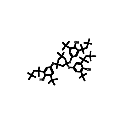 CC(C)(C)CC(C)(C)c1cc(SC2(C)CC(C)(C)CC(Sc3cc(C(C)(C)C)c(O)c(C(C)(C)CC(C)(C)C)c3)(Sc3cc(C(C)(C)C)c(O)c(C(C)(C)CC(C)(C)C)c3)C2)cc(C(C)(C)C)c1O